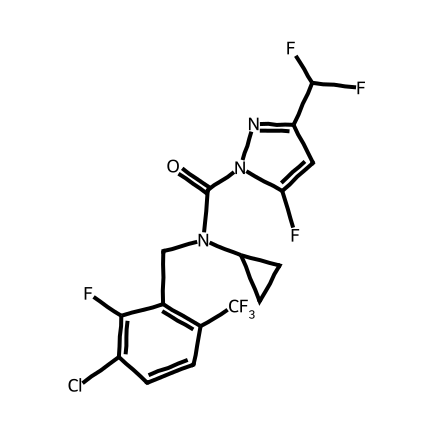 O=C(N(Cc1c(C(F)(F)F)ccc(Cl)c1F)C1CC1)n1nc(C(F)F)cc1F